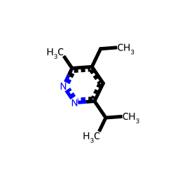 CCc1cc(C(C)C)nnc1C